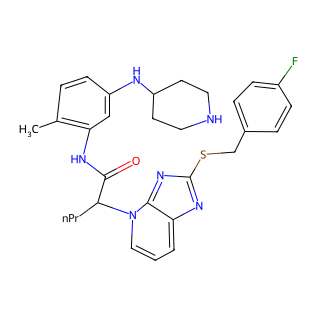 CCCC(C(=O)Nc1cc(NC2CCNCC2)ccc1C)n1cccc2nc(SCc3ccc(F)cc3)nc1-2